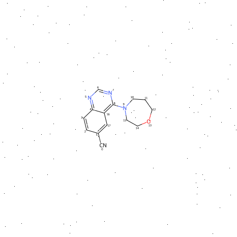 N#Cc1ccc2ncnc(N3CCCOCC3)c2c1